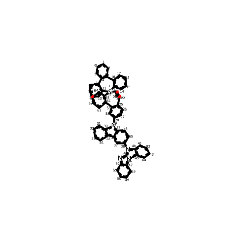 c1ccc2c(c1)-c1ccccc1[Si]1(c3ccccc3-2)c2ccccc2-c2ccc(-n3c4ccccc4c4cc(-n5c6ccccc6n6c7ccccc7nc56)ccc43)cc2-c2ccccc21